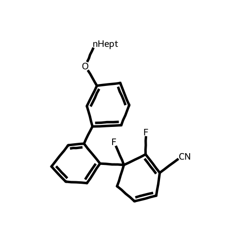 CCCCCCCOc1cccc(-c2ccccc2C2(F)CC=CC(C#N)=C2F)c1